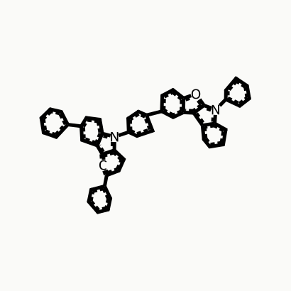 c1ccc(-c2ccc3c(c2)c2cc(-c4ccccc4)ccc2n3-c2ccc(-c3ccc4oc5c(c4c3)c3ccccc3n5-c3ccccc3)cc2)cc1